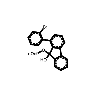 CCCCCCCCOC1(O)c2ccccc2-c2cccc(-c3ccccc3Br)c21